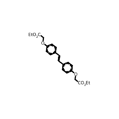 CCOC(=O)COc1ccc(/C=C/c2ccc(OCC(=O)OCC)cc2)cc1